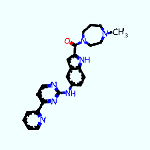 CN1CCCN(C(=O)c2cc3cc(Nc4nccc(-c5ccccn5)n4)ccc3[nH]2)CC1